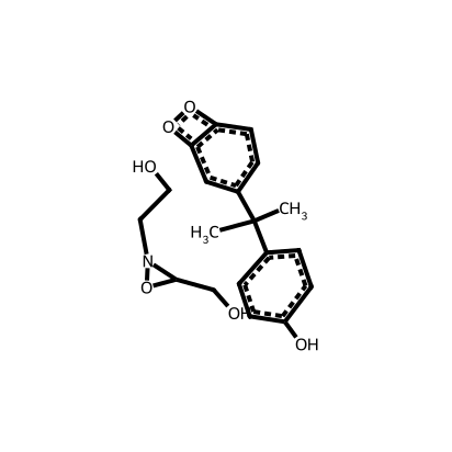 CC(C)(c1ccc(O)cc1)c1ccc2ooc2c1.OCCN1OC1CO